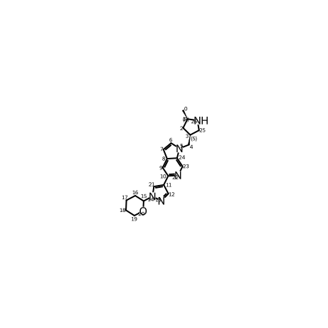 C[C@@H]1C[C@H](Cn2ccc3cc(-c4cnn(C5CCCCO5)c4)ncc32)CN1